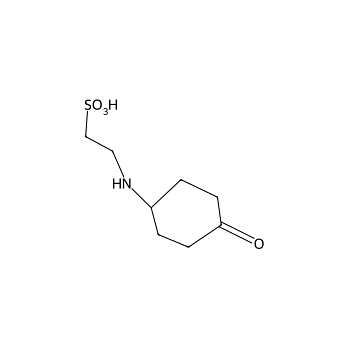 O=C1CCC(NCCS(=O)(=O)O)CC1